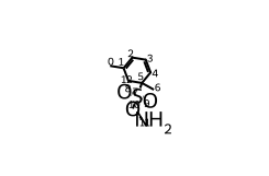 CC1=CC=CC(C)(S(=O)(=O)ON)C1